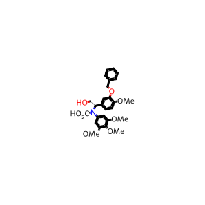 COc1ccc([C@@H](CO)N(C(=O)O)c2cc(OC)c(OC)c(OC)c2)cc1OCc1ccccc1